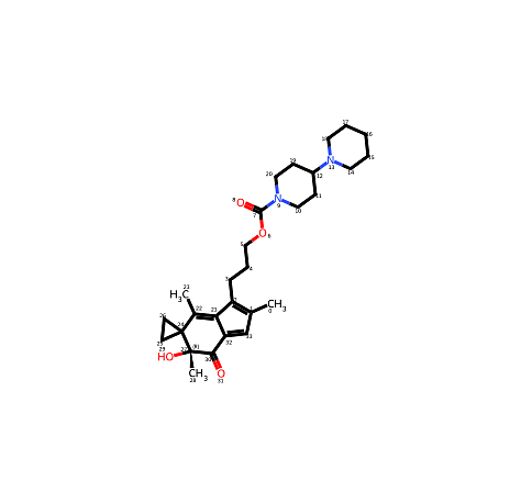 CC1=C(CCCOC(=O)N2CCC(N3CCCCC3)CC2)C2=C(C)C3(CC3)[C@@](C)(O)C(=O)C2=C1